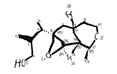 C=C(CO)C(C)[C@]12C[C@@H]3CCC[C@@H](C)[C@]3(C)[C@H]1O2